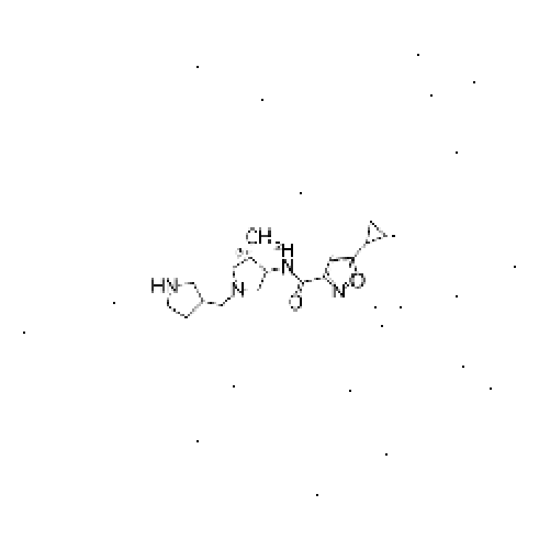 C[C@H]1CN(CC2CCNC2)CC1NC(=O)c1cc(C2CC2)on1